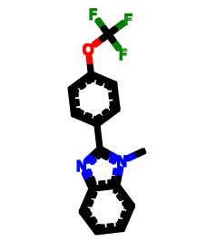 Cn1c(-c2ccc(OC(F)(F)F)cc2)nc2ccccc21